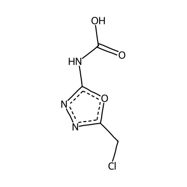 O=C(O)Nc1nnc(CCl)o1